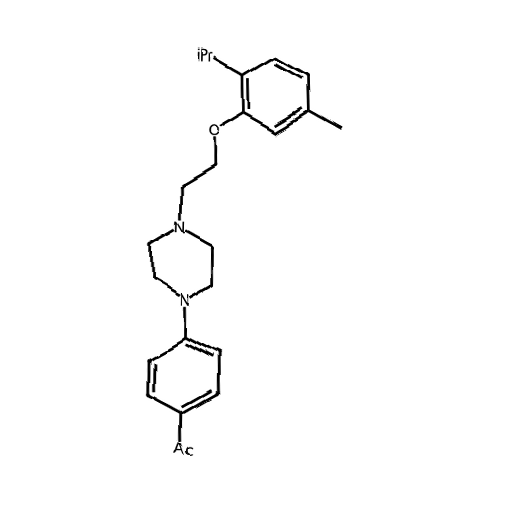 CC(=O)c1ccc(N2CCN(CCOc3cc(C)ccc3C(C)C)CC2)cc1